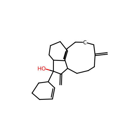 C=C1CCCCCC(C(=C)C(O)(C2C=CCCC2)C2C=CCCC2)CCC1